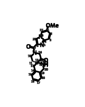 COc1ccc2nc(C(=O)N3CC[C@]4(Cc5ccccc5CN4)[C@H](O)C3)cn2c1